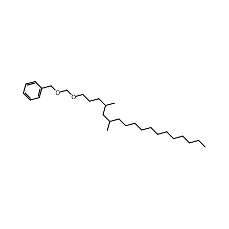 CCCCCCCCCCCCC(C)CC(C)CCCOCOCc1ccccc1